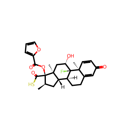 C[C@@H]1C[C@H]2[C@@H]3CCC4=CC(=O)C=C[C@]4(C)[C@@]3(F)[C@@H](O)C[C@]2(C)[C@@]1(OC(=O)c1ccco1)C(=O)S